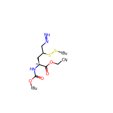 CC(C)(C)OC(=O)N[C@@H](CC(CN=N)SSC(C)(C)C)C(=O)OCC#N